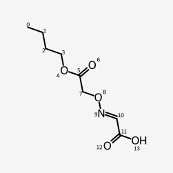 CCCCOC(=O)CON=CC(=O)O